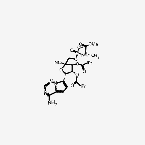 COC(=O)[C@H](C)NP(=O)(O)OC[C@@]1(C#N)O[C@@H](c2ccc3c(N)ncnn23)[C@H](OC(=O)C(C)C)[C@@H]1OC(=O)C(C)C